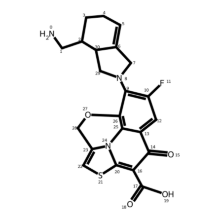 NCC1CCC=C2CN(c3c(F)cc4c(=O)c(C(=O)O)c5scc6n5c4c3OC6)CC21